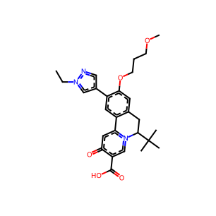 CCn1cc(-c2cc3c(cc2OCCCOC)CC(C(C)(C)C)n2cc(C(=O)O)c(=O)cc2-3)cn1